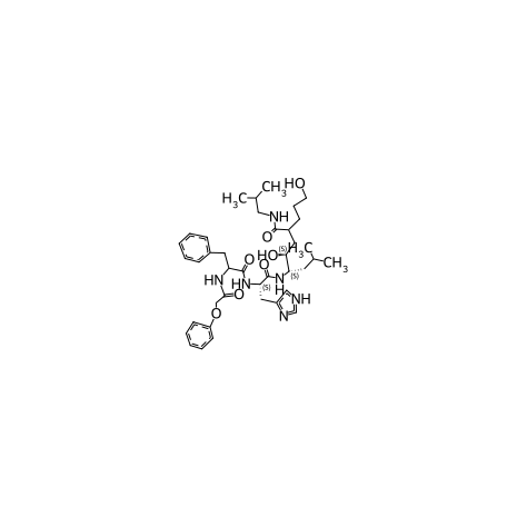 CC(C)CNC(=O)C(CCCO)C[C@H](O)[C@H](CC(C)C)NC(=O)[C@H](Cc1c[nH]cn1)NC(=O)C(Cc1ccccc1)NC(=O)COc1ccccc1